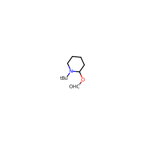 CC(C)(C)N1CCCCC1OC=O